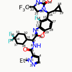 CCn1nccc1C(=O)NC(c1nc2c(F)c(C(C3CC3)N3CC(C(F)(F)F)NC3=O)ccc2o1)C1CCC(F)(F)CC1